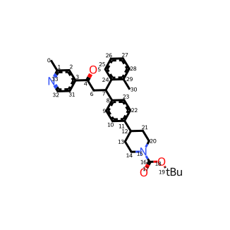 Cc1cc(C(=O)CC(c2ccc(C3CCN(C(=O)OC(C)(C)C)CC3)cc2)c2ccccc2C)ccn1